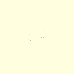 Cc1c2c(nn1C(=O)C1CC1)OCCCNc1nc(ncc1Cl)N2